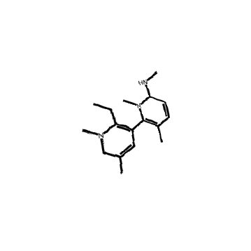 CCC1=C(C2=C(C)C=CC(NC)N2C)C=C(C)CN1C